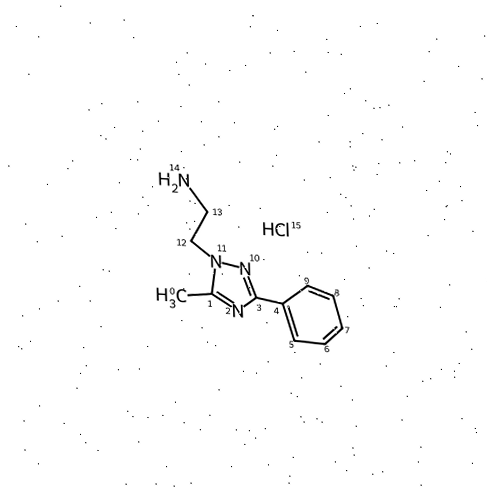 Cc1nc(-c2ccccc2)nn1CCN.Cl